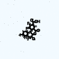 Cc1cc(I)ccc1N1c2c(cc(C(=O)O)c(F)c2F)C(=O)OC1C(N)=O